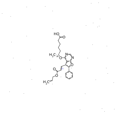 C=CCOC(=O)/C=C/c1c(-c2ccccc2)oc2ncnc(O[C@H](C)CCCCC(=O)O)c12